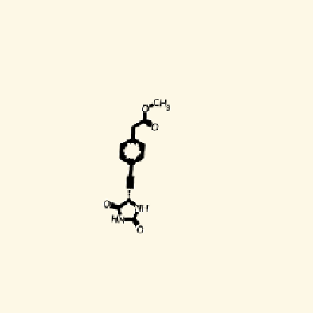 COC(=O)Cc1ccc(C#C[C@@H]2NC(=O)NC2=O)cc1